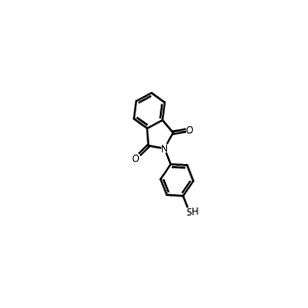 O=C1c2ccccc2C(=O)N1c1ccc(S)cc1